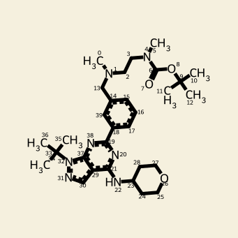 CN(CCN(C)C(=O)OC(C)(C)C)Cc1cccc(-c2nc(NC3CCOCC3)c3cnn(C(C)(C)C)c3n2)c1